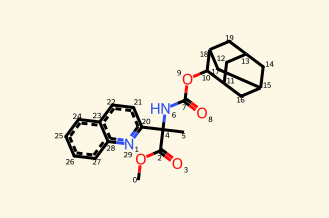 COC(=O)C(C)(NC(=O)OC1C2CC3CC(C2)CC1C3)c1ccc2ccccc2n1